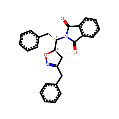 O=C1c2ccccc2C(=O)N1[C@@H](Cc1ccccc1)[C@H]1CC(Cc2ccccc2)=NO1